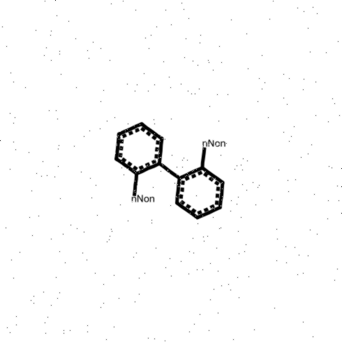 CCCCCCCCCc1ccccc1-c1ccccc1CCCCCCCCC